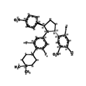 C[Si]1(C)CCN(c2c(F)cc(N3[C@@H](c4ccc([N+](=O)[O-])cc4)CC[C@@H]3c3cc([N+](=O)[O-])c(Cl)cc3F)cc2F)CC1